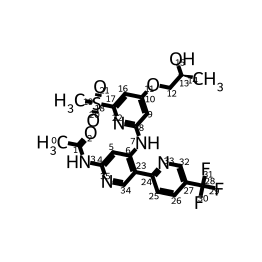 CC(=O)Nc1cc(Nc2cc(OC[C@H](C)O)cc(S(C)(=O)=O)n2)c(-c2ccc(C(F)(F)F)cn2)cn1